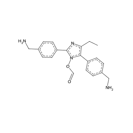 CCc1nc(-c2ccc(CN)cc2)n(OC=O)c1-c1ccc(CN)cc1